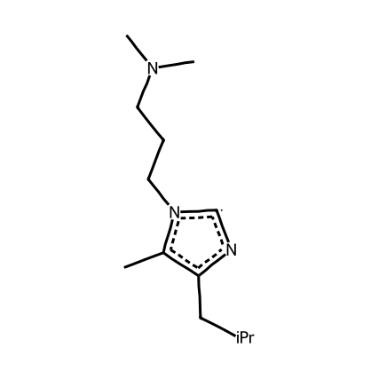 Cc1c(CC(C)C)n[c]n1CCCN(C)C